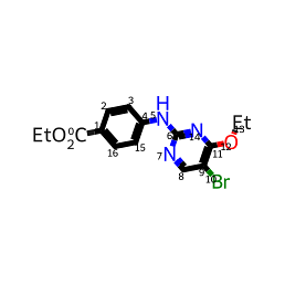 CCOC(=O)c1ccc(Nc2ncc(Br)c(OCC)n2)cc1